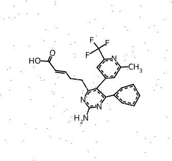 Cc1cc(-c2c(CCC=CC(=O)O)nc(N)nc2-c2ccccc2)cc(C(F)(F)F)n1